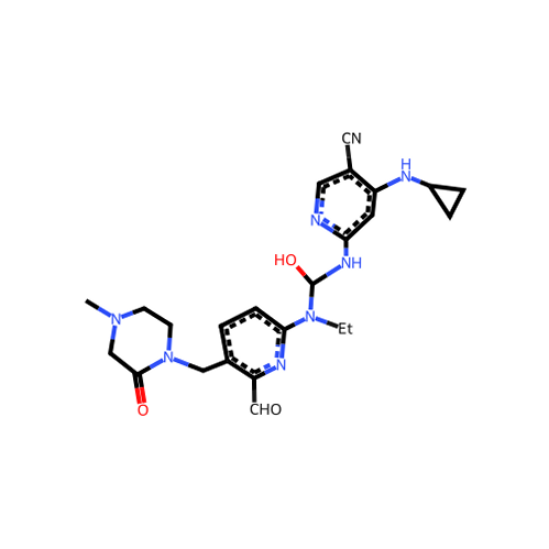 CCN(c1ccc(CN2CCN(C)CC2=O)c(C=O)n1)C(O)Nc1cc(NC2CC2)c(C#N)cn1